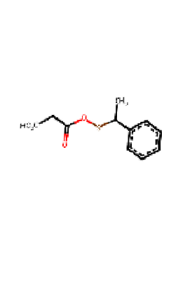 CC(SOC(=O)CC(=O)O)c1ccccc1